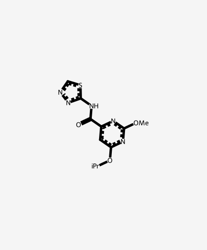 COc1nc(OC(C)C)cc(C(=O)Nc2nncs2)n1